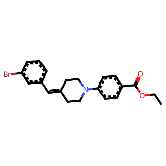 CCOC(=O)c1ccc(N2CCC(=Cc3cccc(Br)c3)CC2)cc1